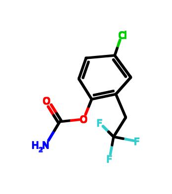 NC(=O)Oc1ccc(Cl)cc1CC(F)(F)F